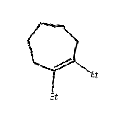 CCC1=C(CC)CCCCC1